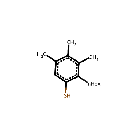 CCCCCCc1c(S)cc(C)c(C)c1C